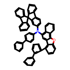 c1ccc(-c2ccc(N(c3ccc4c(c3)C3(c5ccccc5-c5ccccc53)c3ccccc3-4)c3cc4c(oc5cccc(-c6cccc(-c7ccccc7)c6)c54)c4ccccc34)cc2)cc1